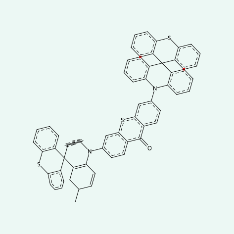 CC1C=CC2=C(C1)C1(c3ccccc3Sc3ccccc31)c1ccccc1N2c1ccc2c(=O)c3ccc(N4c5ccccc5C5(c6ccccc6Sc6ccccc65)c5ccccc54)cc3sc2c1